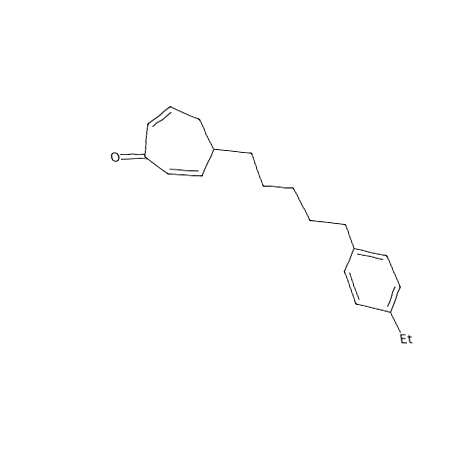 CCc1ccc(CCCCCC2C=CC(=O)C=CC2)cc1